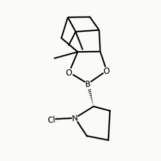 CC12CC3CC(C1OB([C@@H]1CCCN1Cl)O2)C3(C)C